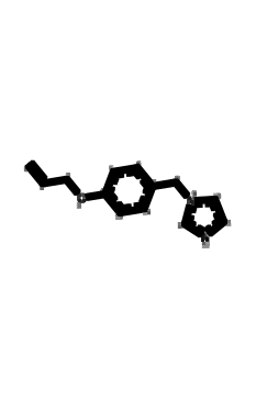 C=CCOc1ccc(Cn2ccnc2)cc1